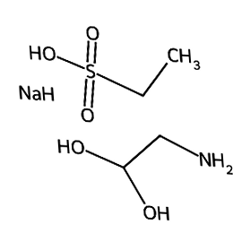 CCS(=O)(=O)O.NCC(O)O.[NaH]